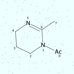 CC(=O)N1CCCN=C1C